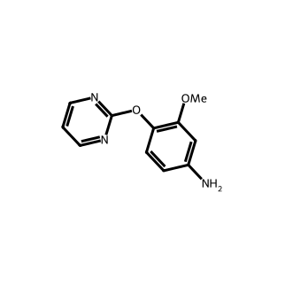 COc1cc(N)ccc1Oc1ncccn1